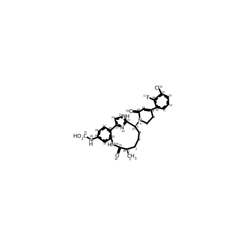 C[C@@H]1CCC[C@H](N2CCC(c3cccc(Cl)c3F)=CC2=O)c2nc(c[nH]2)-c2ccc(NC(=O)O)cc2NC1=O